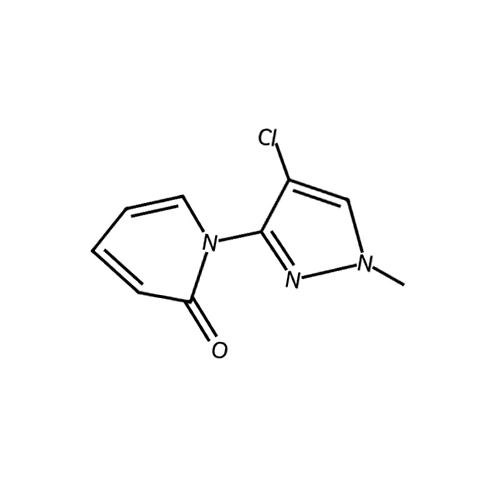 Cn1cc(Cl)c(-n2ccccc2=O)n1